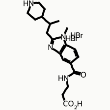 Br.Br.CC(Cc1nc2cc(C(=O)NCCC(=O)O)ccc2n1C)C1CCNCC1